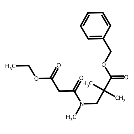 CCOC(=O)CC(=O)N(C)CC(C)(C)C(=O)OCc1ccccc1